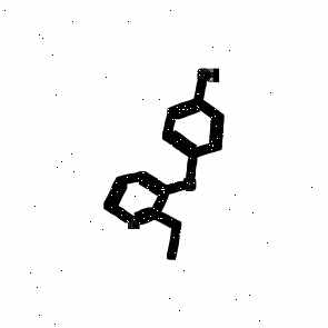 CCc1ncccc1Oc1ccc(O)cc1